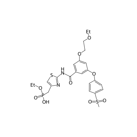 CCOCCOc1cc(Oc2ccc(S(C)(=O)=O)cc2)cc(C(=O)Nc2nc(CP(=O)(O)OCC)cs2)c1